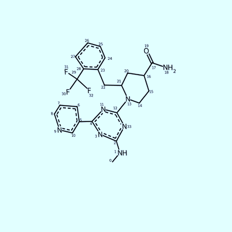 CNc1nc(-c2cccnc2)nc(N2CCC(C(N)=O)CC2Cc2ccccc2C(F)(F)F)n1